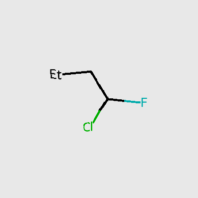 [CH2]CCC(F)Cl